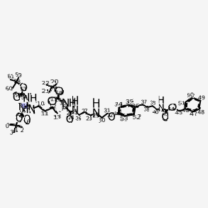 CC(C)(C)OC(=O)/N=C(\NCCCC[C@H](NC(=O)OC(C)(C)C)C(=O)NCCCNCCOc1ccc(CCCCNC(=O)OCc2ccccc2)cc1)NC(=O)OC(C)(C)C